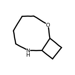 C1CCOC2CCC2NC1